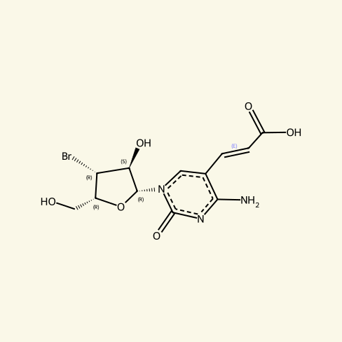 Nc1nc(=O)n([C@@H]2O[C@H](CO)[C@H](Br)[C@H]2O)cc1/C=C/C(=O)O